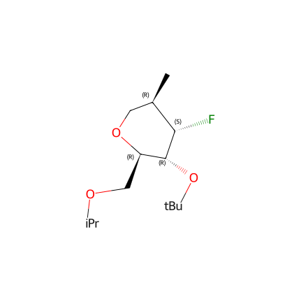 CC(C)OC[C@H]1OC[C@@H](C)[C@H](F)[C@@H]1OC(C)(C)C